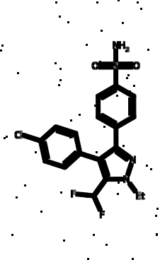 CCn1nc(-c2ccc(S(N)(=O)=O)cc2)c(-c2ccc(Cl)cc2)c1C(F)F